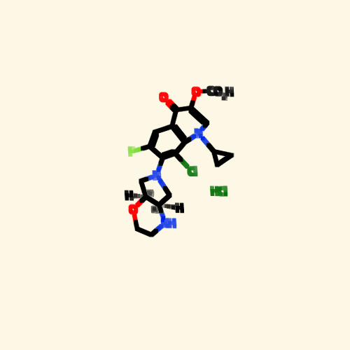 Cl.O=C(O)Oc1cn(C2CC2)c2c(Cl)c(N3C[C@@H]4OCCN[C@@H]4C3)c(F)cc2c1=O